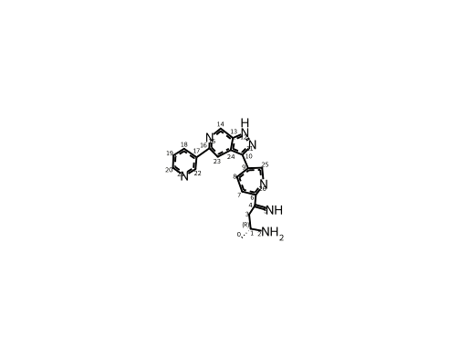 C[C@@H](N)CC(=N)c1ccc(-c2n[nH]c3cnc(-c4cccnc4)cc23)cn1